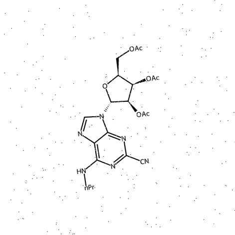 CCCNc1nc(C#N)nc2c1ncn2[C@@H]1O[C@@H](COC(C)=O)[C@@H](OC(C)=O)[C@H]1OC(C)=O